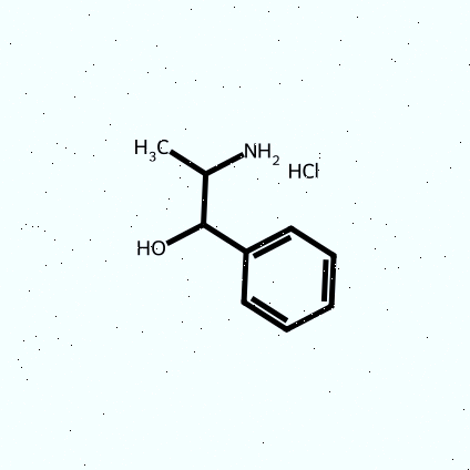 CC(N)C(O)c1ccccc1.Cl